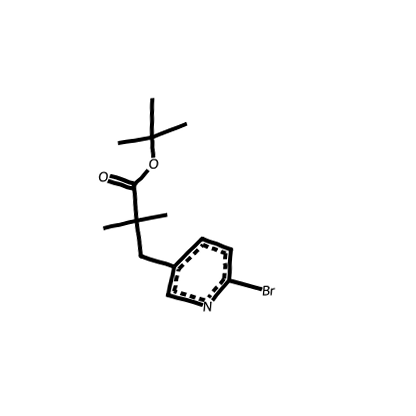 CC(C)(C)OC(=O)C(C)(C)Cc1ccc(Br)nc1